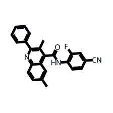 Cc1ccc2nc(-c3ccccc3)c(C)c(C(=O)Nc3ccc(C#N)cc3F)c2c1